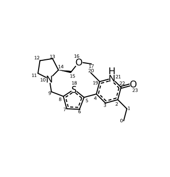 CCc1cc(-c2ccc(CN3CCC[C@H]3COC)s2)c(C)[nH]c1=O